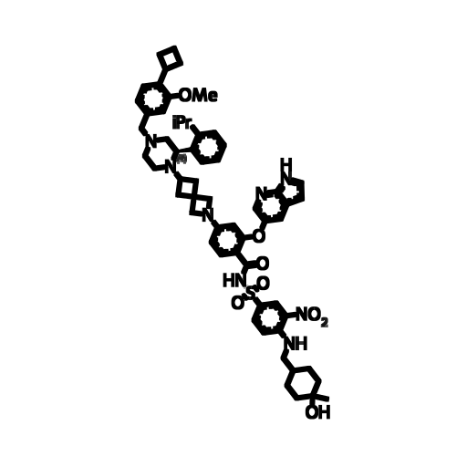 COc1cc(CN2CCN(C3CC4(C3)CN(c3ccc(C(=O)NS(=O)(=O)c5ccc(NCC6CCC(C)(O)CC6)c([N+](=O)[O-])c5)c(Oc5cnc6[nH]ccc6c5)c3)C4)[C@H](c3ccccc3C(C)C)C2)ccc1C1CCC1